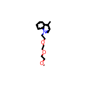 COCCOCCOCC[n+]1ccc(C)c2ccccc21